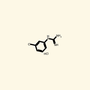 Cl.N=C(N)Nc1cccc(Cl)c1